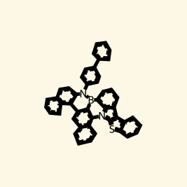 c1ccc(-c2ccc(N3B4c5c(cc6ccccc6c5-n5c6sc7ccccc7c6c6cccc4c65)-c4c3ccc3ccccc43)cc2)cc1